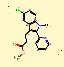 COC(=O)CCc1c(-c2ccccn2)n(C)c2ccc(Cl)cc12